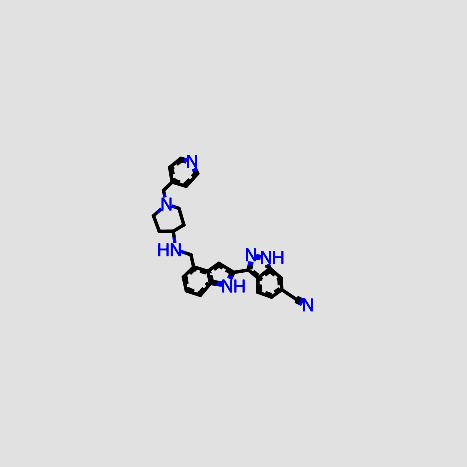 N#Cc1ccc2c(-c3cc4c(CNC5CCN(Cc6ccncc6)CC5)cccc4[nH]3)n[nH]c2c1